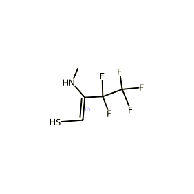 CN/C(=C\S)C(F)(F)C(F)(F)F